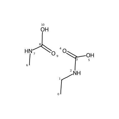 CCNC(=O)O.CNC(=O)O